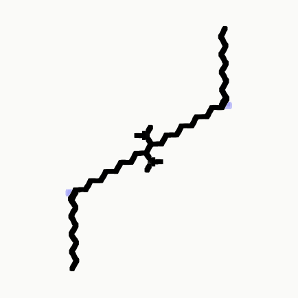 CCCCCCCC/C=C\CCCCCCCCC(C(CCCCCCCC/C=C\CCCCCCCC)N(C)C)N(C)C